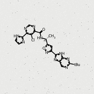 C[C@@H](NC(=O)c1ncnc(-c2ncc[nH]2)c1Cl)c1cc(-c2nc3cnc(C(C)(C)C)nc3[nH]2)no1